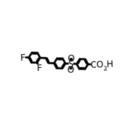 O=C(O)c1ccc(S(=O)(=O)c2ccc(C=Cc3ccc(F)cc3F)cc2)cc1